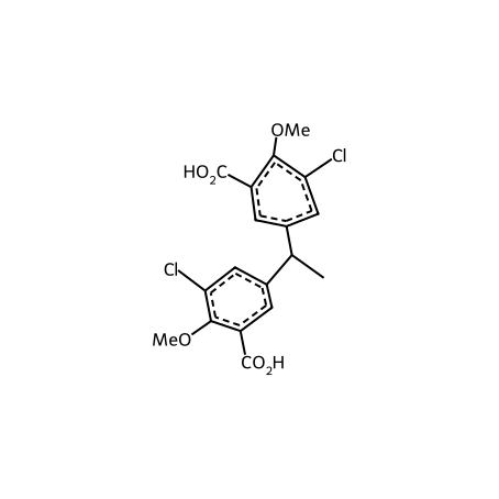 COc1c(Cl)cc(C(C)c2cc(Cl)c(OC)c(C(=O)O)c2)cc1C(=O)O